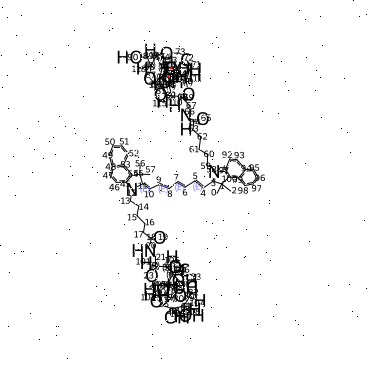 CC1(C)C(/C=C/C=C/C=C/C=C2/N(CCCCCC(=O)NC[C@H]3O[C@@H]4OC5[C@@H](CO)O[C@H](CCCO[C@H]3[C@H](O)[C@H]4O)[C@H](O)[C@H]5O)c3ccc4ccccc4c3C2(C)C)=[N+](CCCCCC(=O)NC[C@H]2O[C@@H]3CCCO[C@H]4[C@H](O)[C@@H](O)C(O[C@H]2[C@H](O)[C@H]3O)O[C@@H]4CO)c2ccc3ccccc3c21